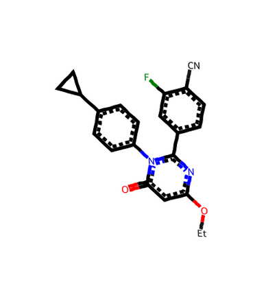 CCOc1cc(=O)n(-c2ccc(C3CC3)cc2)c(-c2ccc(C#N)c(F)c2)n1